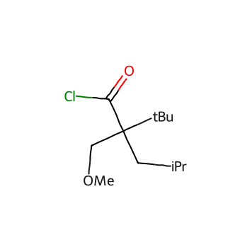 COCC(CC(C)C)(C(=O)Cl)C(C)(C)C